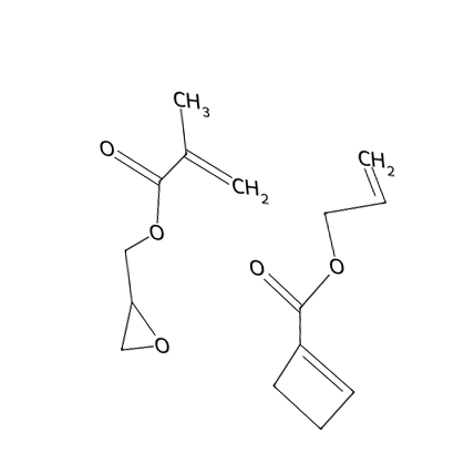 C=C(C)C(=O)OCC1CO1.C=CCOC(=O)C1=CCC1